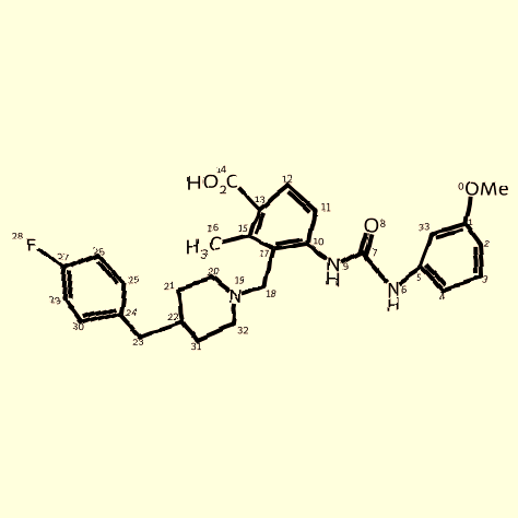 COc1cccc(NC(=O)Nc2ccc(C(=O)O)c(C)c2CN2CCC(Cc3ccc(F)cc3)CC2)c1